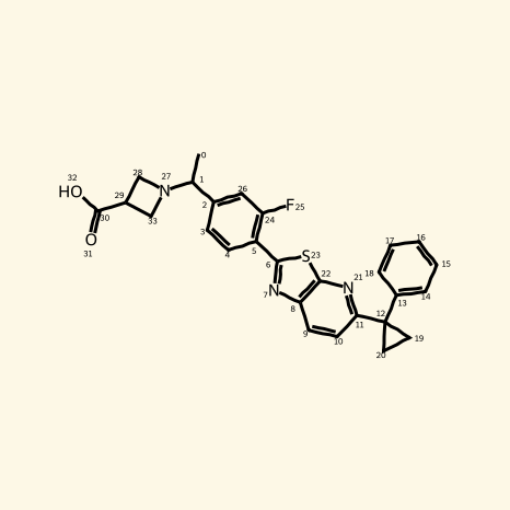 CC(c1ccc(-c2nc3ccc(C4(c5ccccc5)CC4)nc3s2)c(F)c1)N1CC(C(=O)O)C1